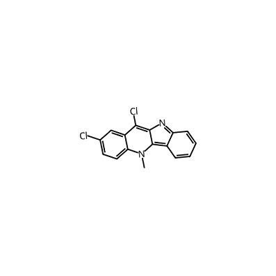 Cn1c2c3ccccc3nc-2c(Cl)c2cc(Cl)ccc21